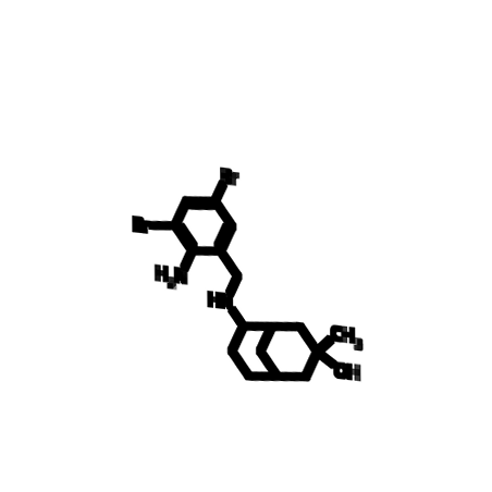 CC1(O)CC2CCC(NCc3cc(Br)cc(Br)c3N)C(C2)C1